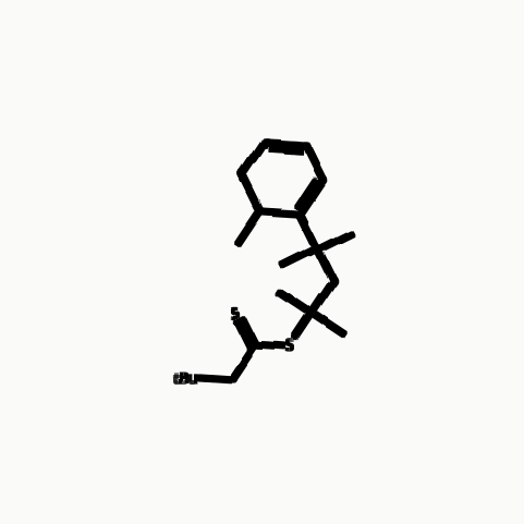 CC1CC=CC=C1C(C)(C)CC(C)(C)SC(=S)CC(C)(C)C